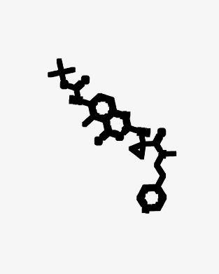 Cc1c(NC(=O)OC(C)(C)C)ccc2nc(NC3(C(=O)N(C)CCc4ccncc4)CC3)oc(=O)c12